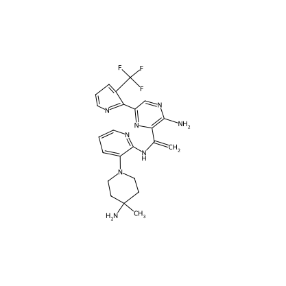 C=C(Nc1ncccc1N1CCC(C)(N)CC1)c1nc(-c2ncccc2C(F)(F)F)cnc1N